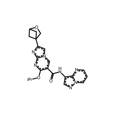 CC(C)Oc1nc2nc(C34COC(C3)C4)cn2cc1C(=O)Nc1cnn2cccnc12